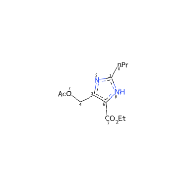 CCCc1nc(COC(C)=O)c(C(=O)OCC)[nH]1